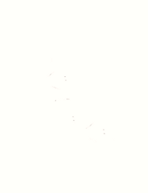 O=S(=O)(CC=Cc1ccc(F)cc1)c1ccc(F)cc1